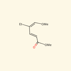 CCC(C=CC(=O)OC)=COC